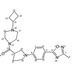 Cc1noc(-c2ccc(N3CCC(C(=O)N4CCN(C5CCC5)CC4)C3)cc2)n1